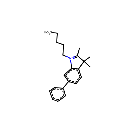 CC1=[N+](CCCCS(=O)(=O)O)c2cc(-c3ccccc3)ccc2C1(C)C